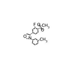 Cc1cccc(N2COC=C2c2ccc(S(C)(=O)=O)c(F)c2)c1